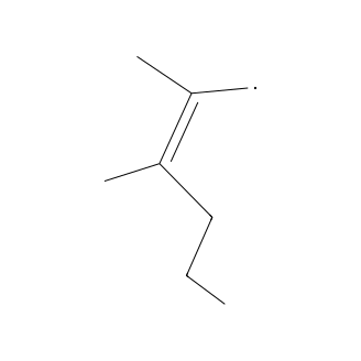 [CH2]C(C)=C(C)CCC